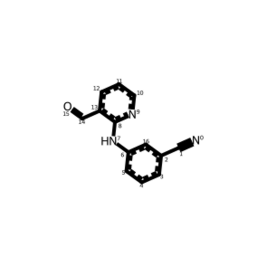 N#Cc1cccc(Nc2ncccc2C=O)c1